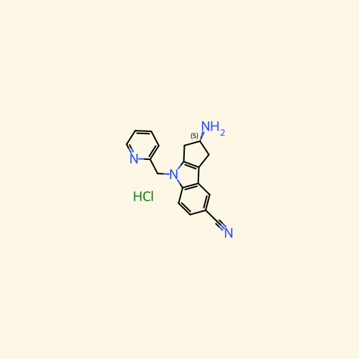 Cl.N#Cc1ccc2c(c1)c1c(n2Cc2ccccn2)C[C@@H](N)C1